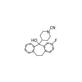 N#CN1CCC(C2(O)c3ccccc3CCc3ccc(F)cc32)CC1